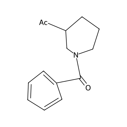 CC(=O)C1CCCN(C(=O)c2ccccc2)C1